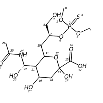 COP(=S)(OC)O[C@H](CO)CC1OC(O)(C(=O)O)CC(O)C1[C@H](O)NC(C)=O